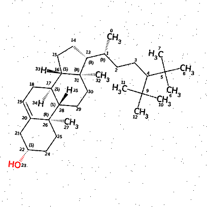 C[C@H](CCC(C(C)(C)C)C(C)(C)C)[C@H]1CC[C@H]2[C@@H]3CC=C4C[C@@H](O)CC[C@]4(C)[C@H]3CC[C@]12C